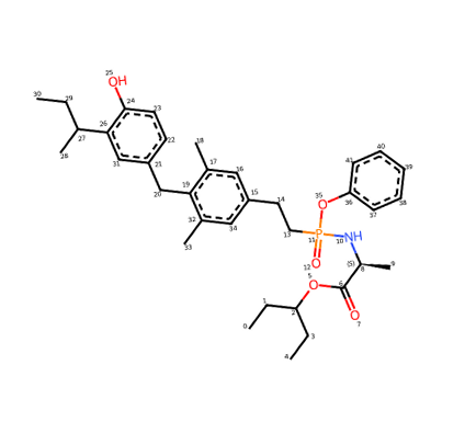 CCC(CC)OC(=O)[C@H](C)NP(=O)(CCc1cc(C)c(Cc2ccc(O)c(C(C)CC)c2)c(C)c1)Oc1ccccc1